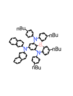 CCCCc1ccc(N2c3ccc(CCCC)cc3B3c4cc(CCCC)ccc4N(c4ccc(CCCC)cc4)c4cc(N(c5ccc6ccccc6c5)c5ccc6ccccc6c5)cc2c43)cc1